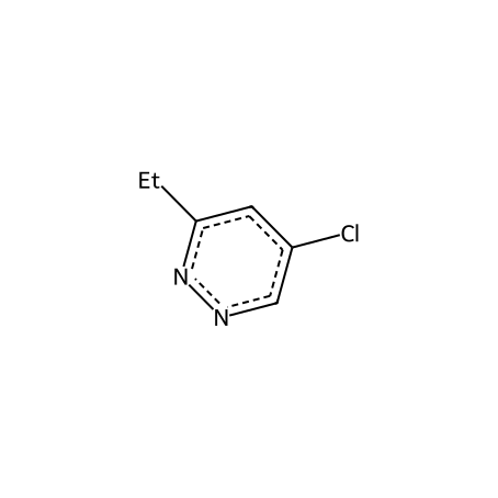 CCc1cc(Cl)cnn1